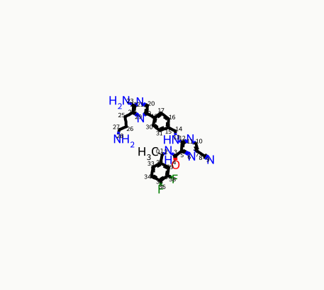 C[C@H](NC(=O)c1nc(C#N)cnc1NCc1ccc(-c2cnc(N)c(CCCN)n2)cc1)c1ccc(F)c(F)c1